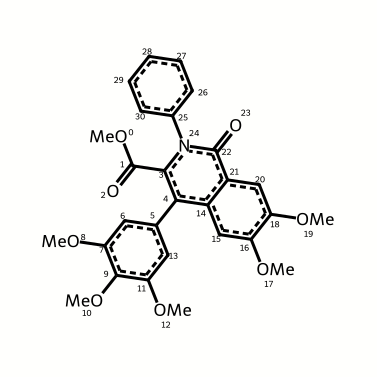 COC(=O)c1c(-c2cc(OC)c(OC)c(OC)c2)c2cc(OC)c(OC)cc2c(=O)n1-c1ccccc1